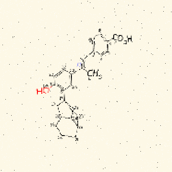 C/C(=C\c1ccc(C(=O)O)cc1)c1ccc(O)c(C23CC4CCCC(C2)C4C3)c1